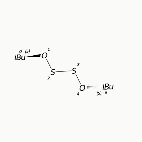 CC[C@H](C)OSSO[C@@H](C)CC